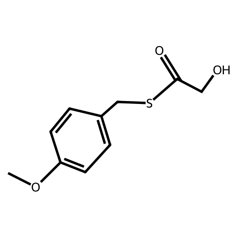 COc1ccc(CSC(=O)CO)cc1